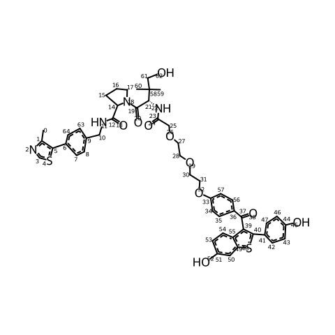 Cc1ncsc1-c1ccc(CNC(=O)C2CCCN2C(=O)[C@@H](NC(=O)COCCOCCOc2ccc(C(=O)c3c(-c4ccc(O)cc4)sc4cc(O)ccc34)cc2)C(C)(C)CO)cc1